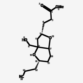 COC(=O)CC[C@H]1CC2(CO)O[C@@H](CCC#N)CCC2O1